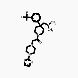 CN(C)CC1(c2cccc(C(F)(F)F)c2)CCN(C(=O)CN2CCN(c3nccs3)CC2)CC1